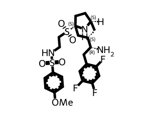 COc1ccc(S(=O)(=O)NCCS(=O)(=O)[C@@]23CC[C@@H](C[C@H]([C@H](N)Cc4cc(F)c(F)cc4F)C2)N3)cc1